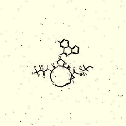 CCC(C)(C)S(=O)(=O)NC(=O)[C@@]12C[C@H]1/C=C\CCCCC[C@H](NC(=O)[C@H](O)C(F)(F)F)C(=O)N1C[C@H](Oc3nc4ccccc4c4ccc(F)cc34)C[C@H]1C(=O)N2